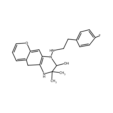 CC1(C)NC2=C(C=C3OC=CC=C3C2)N(NCCc2ccc(F)cc2)C1O